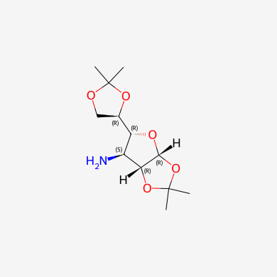 CC1(C)O[C@H]2O[C@@H]([C@H]3COC(C)(C)O3)[C@H](N)[C@H]2O1